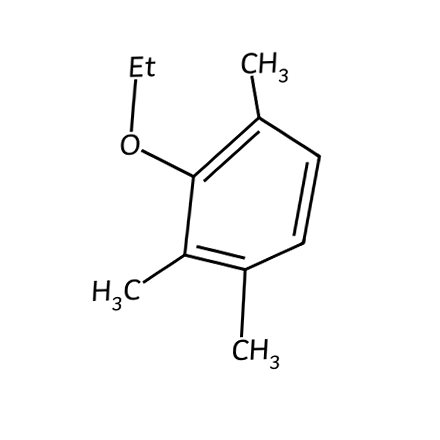 [CH2]COc1c(C)ccc(C)c1C